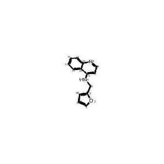 c1coc(CNc2ccnc3ccccc23)c1